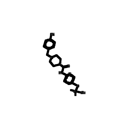 CC(C)(C)[Si](C)(C)Oc1ccc(NC(=O)N2CCN(Cc3ccc(C#N)cc3)CC2)nc1